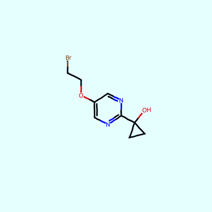 OC1(c2ncc(OCCBr)cn2)CC1